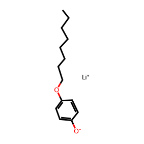 CCCCCCCCOc1ccc([O-])cc1.[Li+]